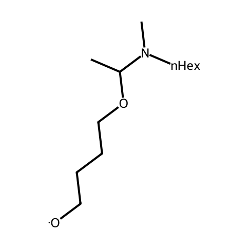 CCCCCCN(C)C(C)OCCCC[O]